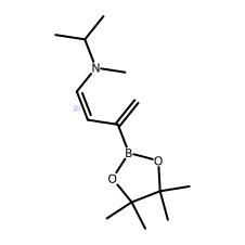 C=C(/C=C\N(C)C(C)C)B1OC(C)(C)C(C)(C)O1